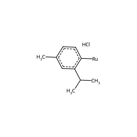 Cc1cc[c]([Ru])c(C(C)C)c1.Cl